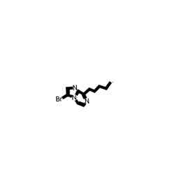 [CH2]CCCCc1nccn2c(Br)cnc12